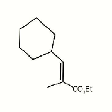 CCOC(=O)C(C)=CC1CCCCC1